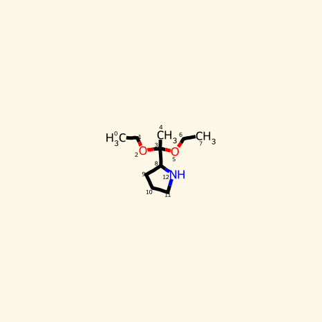 CCOC(C)(OCC)C1CCCN1